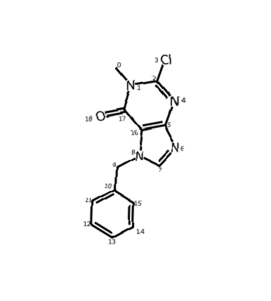 Cn1c(Cl)nc2ncn(Cc3ccccc3)c2c1=O